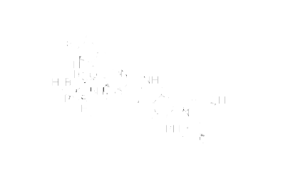 Bc1cc(CC(N)C(=O)NC(Cc2ccc(F)cc2)C(=O)OC(B)(B)C(B)(B)B)ccc1N(CCC)CCCl